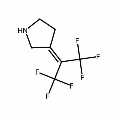 FC(F)(F)C(=C1CCNC1)C(F)(F)F